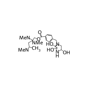 CNC(C)CC(COC(=O)c1ccc(CN2CC(O)NS2(O)O)cc1)(NC)NC